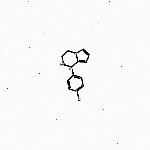 Clc1ccc([C@H]2NCCn3cccc32)cc1